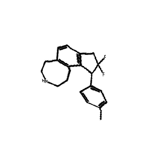 Cc1ccc(C2c3c(ccc4c3CCNCC4)CC2(F)F)cc1